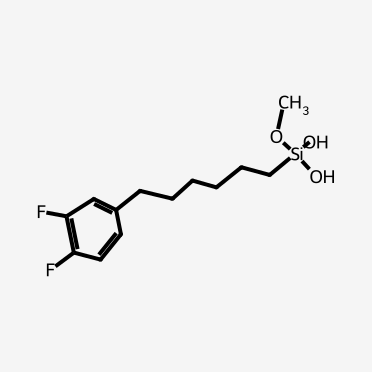 CO[Si](O)(O)CCCCCCc1ccc(F)c(F)c1